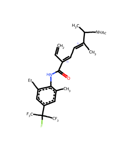 C=C/C(=C\C=C(/C)C(C)NC(C)=O)C(=O)Nc1c(C)cc(C(F)(C(F)(F)F)C(F)(F)F)cc1CC